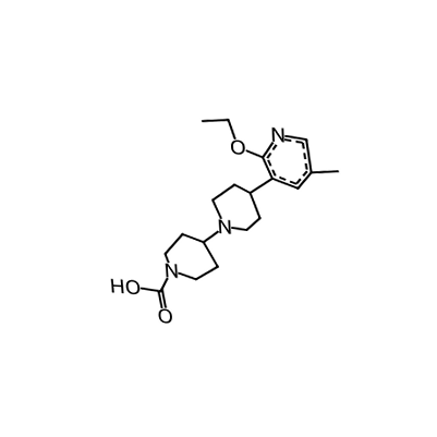 CCOc1ncc(C)cc1C1CCN(C2CCN(C(=O)O)CC2)CC1